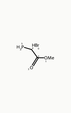 Br.COC(=O)CP